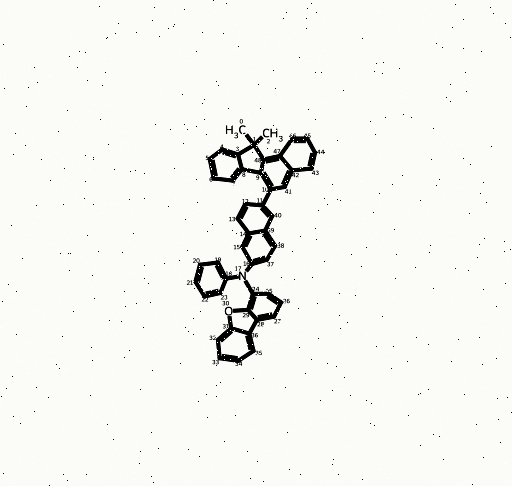 CC1(C)c2ccccc2-c2c(-c3ccc4cc(N(c5ccccc5)c5cccc6c5oc5ccccc56)ccc4c3)cc3ccccc3c21